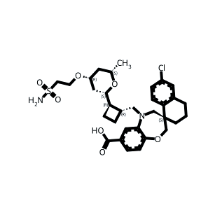 C[C@H]1C[C@@H](OCCS(N)(=O)=O)C[C@@H]([C@@H]2CC[C@H]2CN2C[C@@]3(CCCc4cc(Cl)ccc43)COc3ccc(C(=O)O)cc32)O1